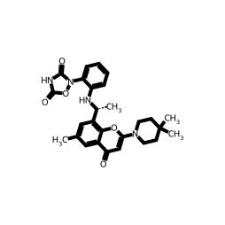 Cc1cc([C@@H](C)Nc2ccccc2-n2oc(=O)[nH]c2=O)c2oc(N3CCC(C)(C)CC3)cc(=O)c2c1